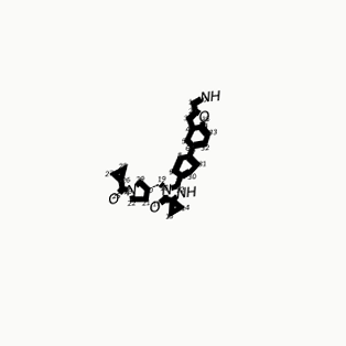 N=CC1=CC2CC(c3ccc(C4NC5(CC5)C(=O)N4C[C@@H]4CCN(C(=O)C5CC5)C4)cc3)=CC=C2O1